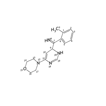 Cc1ccccc1C(=N)C1C=C(N2CCOCC2)N=CN1